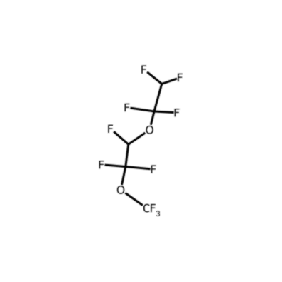 FC(F)C(F)(F)OC(F)C(F)(F)OC(F)(F)F